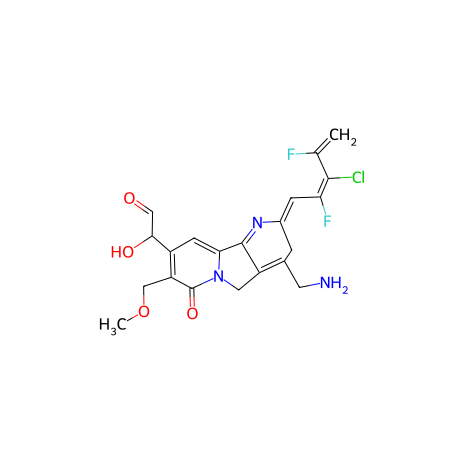 C=C(F)/C(Cl)=C(F)\C=C1/CC(CN)=C2Cn3c(cc(C(O)C=O)c(COC)c3=O)C2=N1